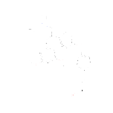 COc1cc(/C=C(/C(=O)N(C)C)c2ccc(Oc3ccc(CCC(=O)O)cc3)cc2)cc(OC)c1